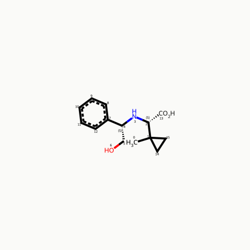 CC1([C@H](N[C@H](CO)c2ccccc2)C(=O)O)CC1